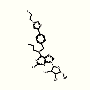 CCCN(Cc1ccc(-c2cn(CCF)nn2)cc1)c1nc(Cl)nc2c1ncn2[C@@H]1O[C@H](CO)[C@@H](O)[C@H]1O